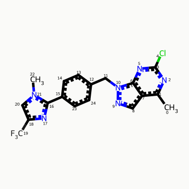 Cc1nc(Cl)nc2c1cnn2Cc1ccc(-c2nc(C(F)(F)F)cn2C)cc1